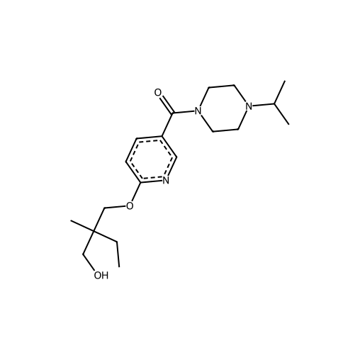 CCC(C)(CO)COc1ccc(C(=O)N2CCN(C(C)C)CC2)cn1